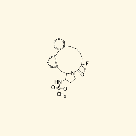 CS(=O)(=O)NC1CCN2C(=O)C(F)(F)CCCCc3ccccc3-c3cccc(c3)CC12